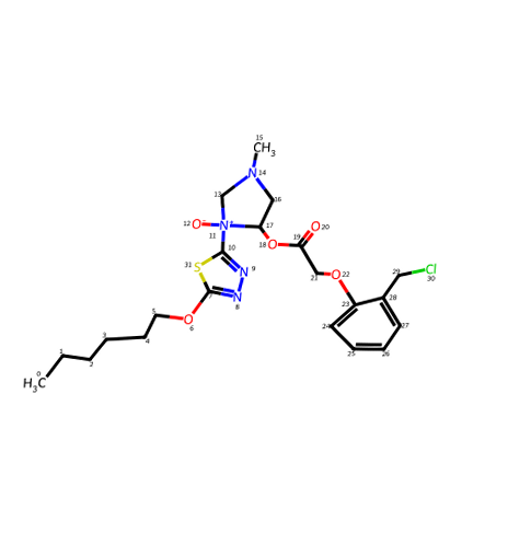 CCCCCCOc1nnc([N+]2([O-])CN(C)CC2OC(=O)COc2ccccc2CCl)s1